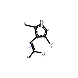 CC/C(C)=C\c1c(C(C)C)c[nH]c1C